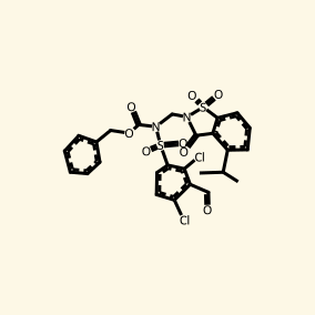 CC(C)c1cccc2c1C(=O)N(CN(C(=O)OCc1ccccc1)S(=O)(=O)c1ccc(Cl)c(C=O)c1Cl)S2(=O)=O